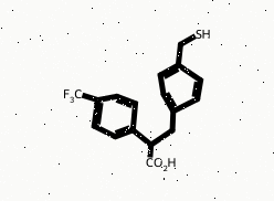 O=C(O)C(Cc1ccc(CS)cc1)c1ccc(C(F)(F)F)cc1